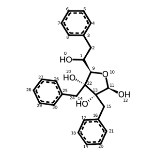 OC(Cc1ccccc1)[C@H]1O[C@@H](O)[C@@](O)(Cc2ccccc2)[C@@]1(O)Cc1ccccc1